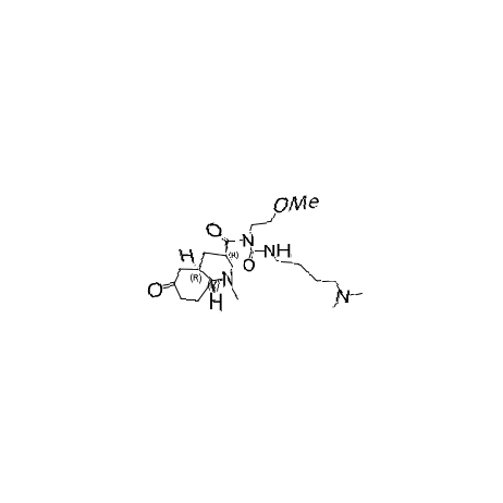 COCCN(C(=O)NCCCCN(C)C)C(=O)[C@@H]1C[C@@H]2CC(=O)CC[C@H]2N(C)C1